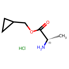 C[C@H](N)C(=O)OCC1CC1.Cl